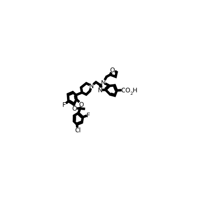 CC1(c2ccc(Cl)cc2F)Oc2c(F)ccc(C3CCN(Cc4nc5ccc(C(=O)O)cc5n4CC4CCO4)CC3)c2O1